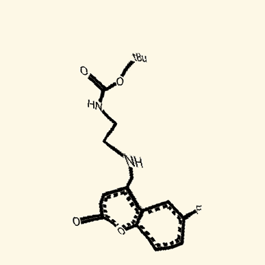 CC(C)(C)OC(=O)NCCNc1cc(=O)oc2ccc(F)cc12